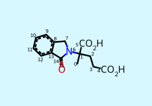 CC(CCC(=O)O)(C(=O)O)N1Cc2ccccc2C1=O